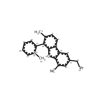 Cc1ccc2c(oc3c(C#N)cc(CC(C)C)cc32)c1-c1cccc[n+]1C